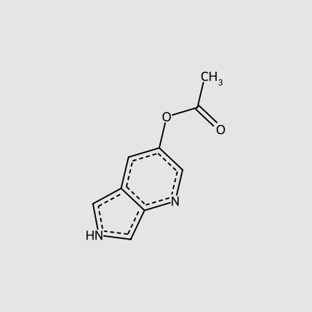 CC(=O)Oc1cnc2c[nH]cc2c1